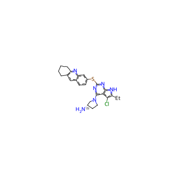 CCc1[nH]c2nc(Sc3ccc4cc5c(nc4c3)CCCC5)nc(N3CC[C@H](N)C3)c2c1Cl